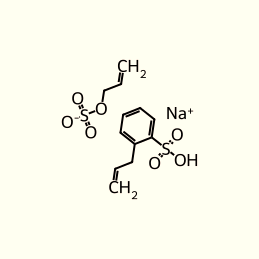 C=CCOS(=O)(=O)[O-].C=CCc1ccccc1S(=O)(=O)O.[Na+]